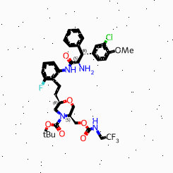 COc1ccc([C@@H](c2ccccc2)[C@H](N)C(=O)Nc2cccc(F)c2CC[C@@H]2CN(C(=O)OC(C)(C)C)[C@H](COC(=O)NCC(F)(F)F)CO2)cc1Cl